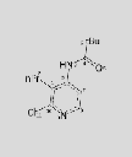 CCCc1c(NC(=O)C(C)(C)C)ccnc1Cl